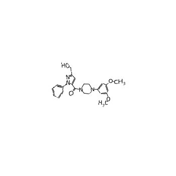 COc1cc(OC)cc(N2CCN(C(=O)c3cc(CO)nn3-c3ccccc3)CC2)c1